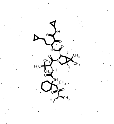 C[C@@H](C1(NC(=O)N[C@H](C(=O)N2C[C@H]3[C@@H]([C@H]2C(=O)N[C@@H](CCC2CC2)C(=O)C(=O)NC2CC2)C3(C)C)C(C)(C)C)CCCCC1)S(=O)(=O)N(C)C